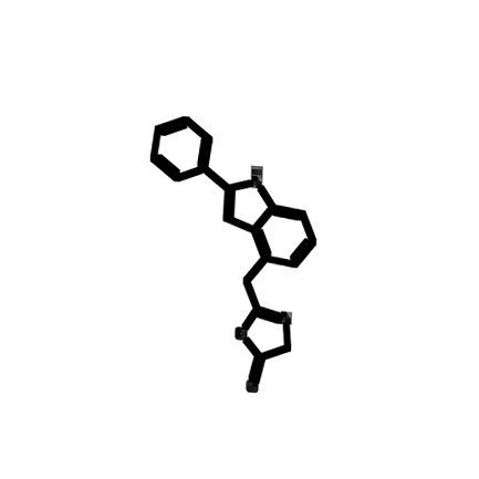 O=C1CN=C(Cc2cccc3[nH]c(-c4ccccc4)cc23)O1